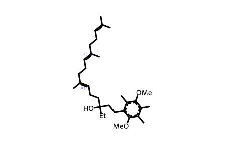 CCC(O)(CC/C=C(\C)CC/C=C(\C)CCC=C(C)C)CCc1c(C)c(OC)c(C)c(C)c1OC